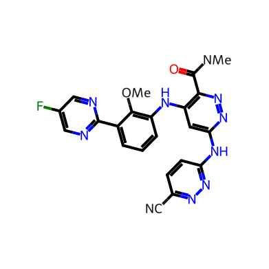 CNC(=O)c1nnc(Nc2ccc(C#N)nn2)cc1Nc1cccc(-c2ncc(F)cn2)c1OC